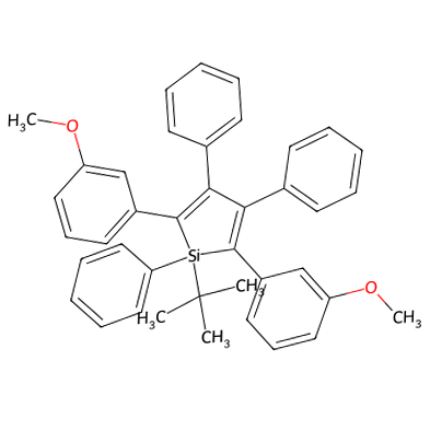 COc1cccc(C2=C(c3ccccc3)C(c3ccccc3)=C(c3cccc(OC)c3)[Si]2(c2ccccc2)C(C)(C)C)c1